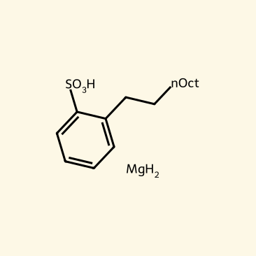 CCCCCCCCCCc1ccccc1S(=O)(=O)O.[MgH2]